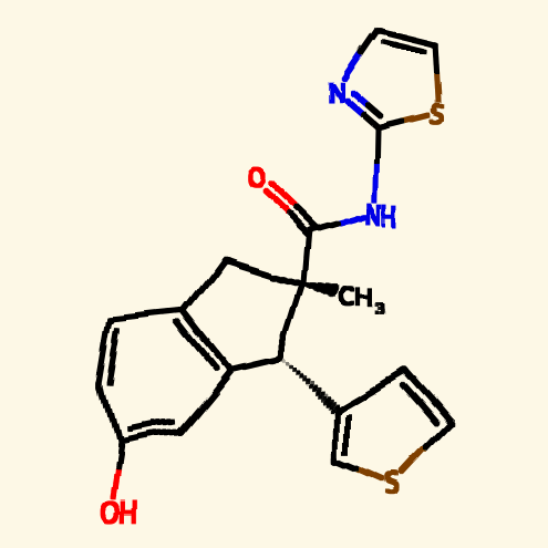 C[C@]1(C(=O)Nc2nccs2)Cc2ccc(O)cc2[C@H]1c1ccsc1